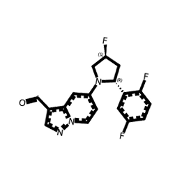 O=[C]c1cnn2ccc(N3C[C@@H](F)C[C@@H]3c3cc(F)ccc3F)cc12